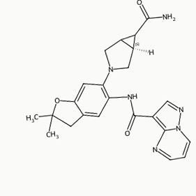 CC1(C)Cc2cc(NC(=O)c3cnn4cccnc34)c(N3CC4C(C(N)=O)[C@H]4C3)cc2O1